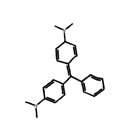 CN(C)c1ccc(C(=C2C=CC(N(C)C)C=C2)c2ccccc2)cc1